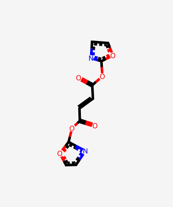 O=C(/C=C/C(=O)Oc1ncco1)Oc1ncco1